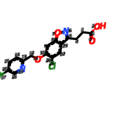 O=C(O)CCc1noc2cc(OCc3ccc(Cl)cn3)c(Cl)cc12